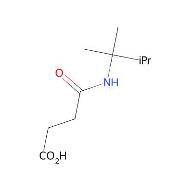 CC(C)C(C)(C)NC(=O)CCC(=O)O